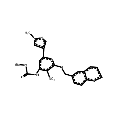 Cn1cc(-c2cc(NC(=O)OC(C)(C)C)c([N+](=O)[O-])c(NCc3ccc4ncccc4c3)n2)cn1